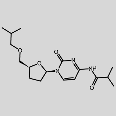 CC(C)COC[C@@H]1CC[C@H](n2ccc(NC(=O)C(C)C)nc2=O)O1